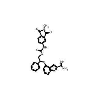 CN1C(=O)c2ccc(NC(=O)OCC(Oc3cccc4sc(C(=N)N)cc34)c3ccccc3)cc2C1=O